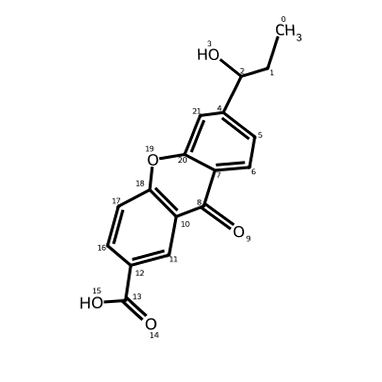 CCC(O)c1ccc2c(=O)c3cc(C(=O)O)ccc3oc2c1